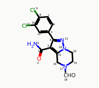 NC(=O)c1c(-c2ccc(Cl)c(Cl)c2)nn2c1CN(C=O)CC2